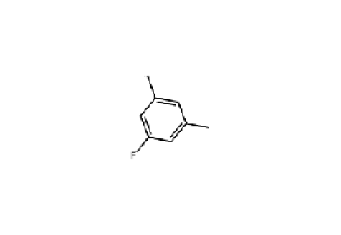 [CH2]c1cc(C)cc(F)c1